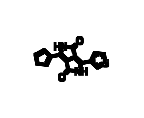 O=C1NC(c2ccsc2)=C2C(=O)NC(C3=CCC=C3)=C12